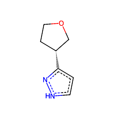 c1cc([C@@H]2CCOC2)n[nH]1